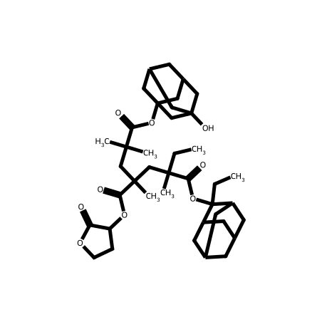 CCC(C)(CC(C)(CC(C)(C)C(=O)OC12CC3CC(CC(O)(C3)C1)C2)C(=O)OC1CCOC1=O)C(=O)OC1(CC)C2CC3CC(C2)CC1C3